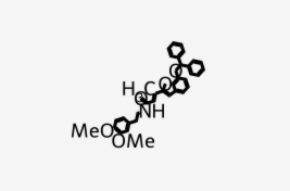 COc1ccc(CCNC(=O)C=C(C)c2cc3cccc(OC(c4ccccc4)c4ccccc4)c3o2)cc1OC